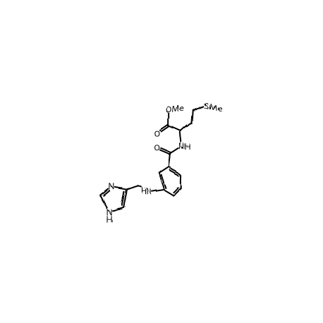 COC(=O)C(CCSC)NC(=O)c1cccc(NCc2c[nH]cn2)c1